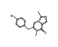 Cn1c(Cc2ccc(Br)cc2)cn2c(I)ncc2c1=O